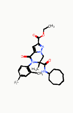 CCOC(=O)c1cc2n(n1)CC(C)(C(=O)NC1CCCCCCC1)N(c1ccc(C)cc1C)C2=O